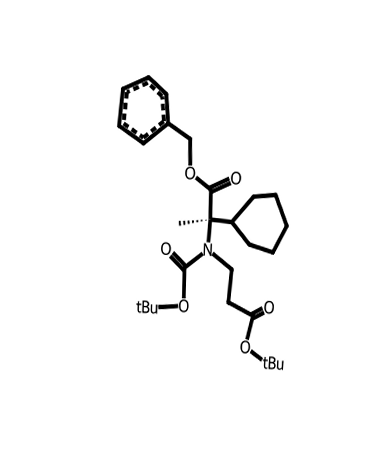 CC(C)(C)OC(=O)CCN(C(=O)OC(C)(C)C)[C@@](C)(C(=O)OCc1ccccc1)C1CCCCC1